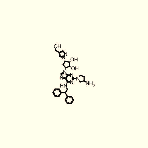 NC1CCN(c2nc(NCC(c3ccccc3)c3ccccc3)c3ncn([C@@H]4C[C@H](n5cc(CO)cn5)[C@@H](O)[C@H]4O)c3n2)C1